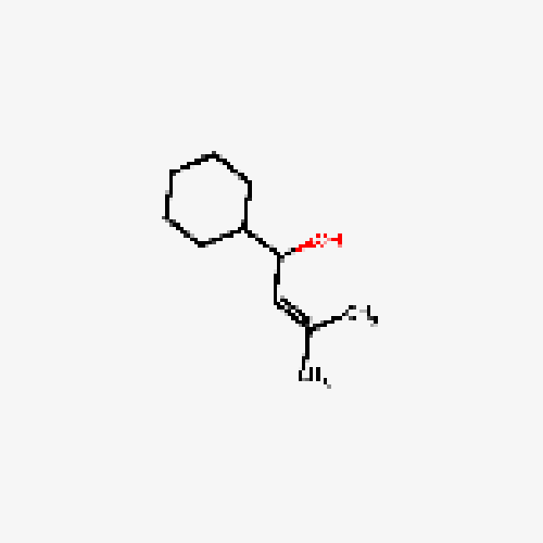 CC(C)=C[C@H](O)C1CCCCC1